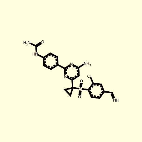 N=Cc1ccc(S(=O)(=O)C2(c3cc(N)nc(-c4ccc(NC(N)=O)cc4)n3)CC2)c(Cl)c1